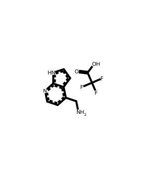 NCc1ccnc2[nH]ccc12.O=C(O)C(F)(F)F